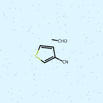 CC=O.N#Cc1ccsc1